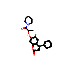 CC(Oc1cc2oc(=O)cc(-c3ccccc3)c2cc1Cl)C(=O)N1CCCCC1